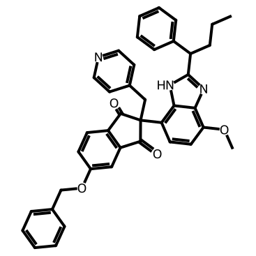 CCCC(c1ccccc1)c1nc2c(OC)ccc(C3(Cc4ccncc4)C(=O)c4ccc(OCc5ccccc5)cc4C3=O)c2[nH]1